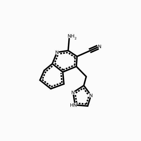 N#Cc1c(N)nc2ccccc2c1Cc1nc[nH]n1